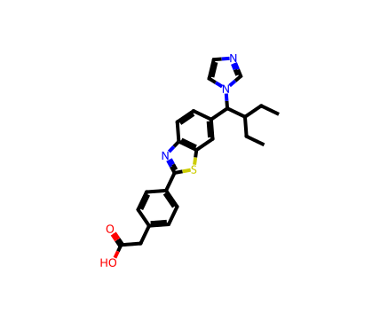 CCC(CC)C(c1ccc2nc(-c3ccc(CC(=O)O)cc3)sc2c1)n1ccnc1